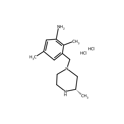 Cc1cc(N)c(C)c(CN2CCN[C@@H](C)C2)c1.Cl.Cl